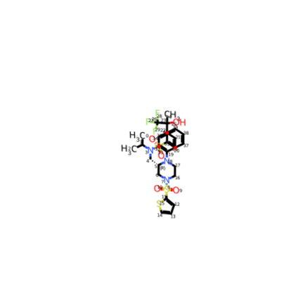 CC(C)N(C[C@H]1CN(S(=O)(=O)c2cccs2)CCN1c1ccc(C(C)(O)C(F)(F)F)cc1)S(=O)(=O)c1ccccc1